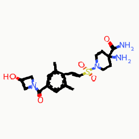 Cc1cc(C(=O)N2CC(O)C2)cc(C)c1C=CS(=O)(=O)N1CCC(N)(C(N)=O)CC1